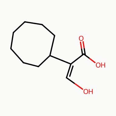 O=C(O)C(=CO)C1CCCCCCC1